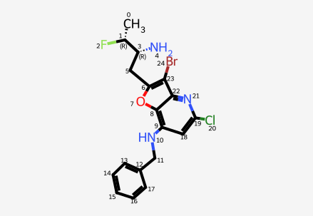 C[C@@H](F)[C@H](N)Cc1oc2c(NCc3ccccc3)cc(Cl)nc2c1Br